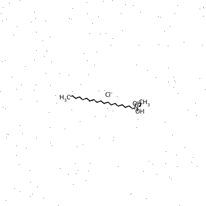 CCCCCCCCCCCCCCCCCCC[N+](O)(O)CC.[Cl-]